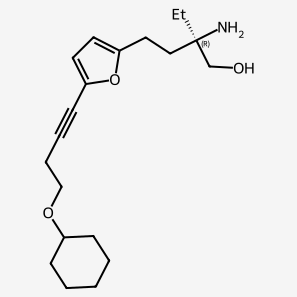 CC[C@](N)(CO)CCc1ccc(C#CCCOC2CCCCC2)o1